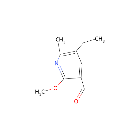 CCc1cc(C=O)c(OC)nc1C